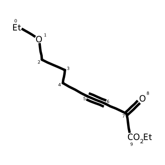 CCOCCCC#CC(=O)C(=O)OCC